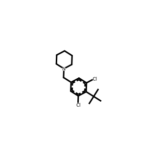 CC(C)(C)c1c(Cl)cc(CN2CCCCC2)cc1Cl